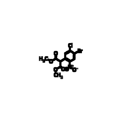 COC(=O)C(C(=O)OC)c1cc(Cl)c(Br)cc1[N+](=O)[O-]